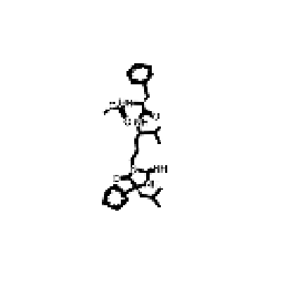 COC(=O)N[C@@H](Cc1ccccc1)C(=O)NC(CCCN1C(=N)N[C@](CC(C)C)(c2ccccc2)C1=O)C(C)C